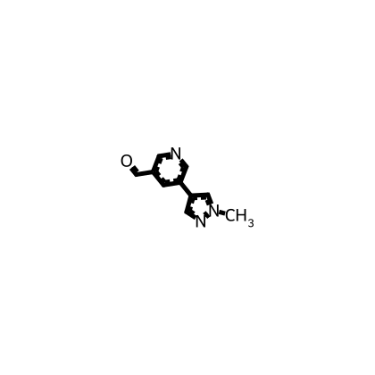 Cn1cc(-c2cncc(C=O)c2)cn1